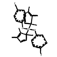 CC1=C(C)[C](C)([Zr]([O]c2ccc(F)cc2)([O]c2ccc(F)cc2)[C]2(C)C=CC(C)=C2C)C=C1